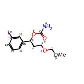 COCOCC[C@H](OC(N)=O)c1cccc(I)c1